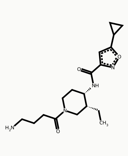 CC[C@@H]1CN(C(=O)CCCN)CC[C@@H]1NC(=O)c1cc(C2CC2)on1